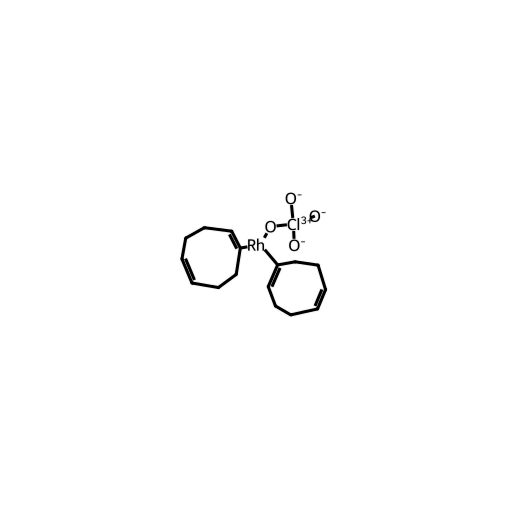 [O-][Cl+3]([O-])([O-])[O][Rh]([C]1=CCCC=CCC1)[C]1=CCCC=CCC1